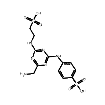 NCc1nc(NCCS(=O)(=O)O)nc(Nc2ccc(S(=O)(=O)O)cc2)n1